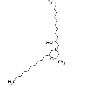 CCCCCCCCCCC(O)CN(CCC)CC(O)CCCCCCCCCC